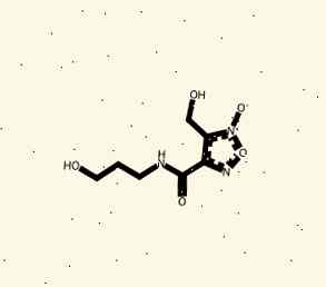 O=C(NCCCO)c1no[n+]([O-])c1CO